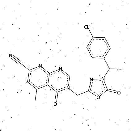 Cc1cc(C#N)nc2ncn(Cc3nn(C(C)c4ccc(Cl)cc4)c(=O)o3)c(=O)c12